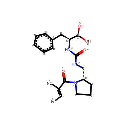 CC(C)C=C(C#N)C(=O)N1CCC[C@H]1CNC(=O)N[C@@H](Cc1ccccc1)B(O)O